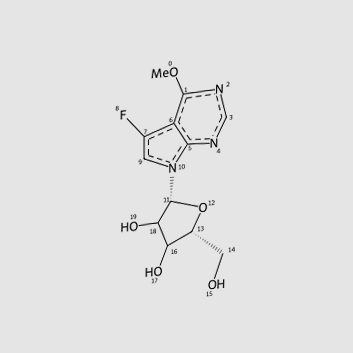 COc1ncnc2c1c(F)cn2[C@@H]1O[C@H](CO)C(O)C1O